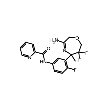 CC1(c2cc(NC(=O)c3ccccn3)ccc2F)N=C(N)COCC1(F)F